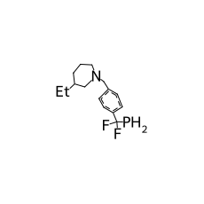 CCC1CCCN(Cc2ccc(C(F)(F)P)cc2)C1